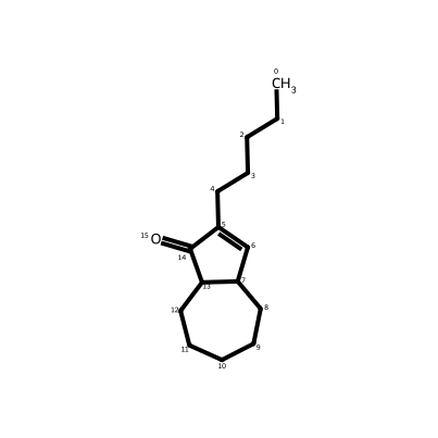 CCCCCC1=CC2CCCCCC2C1=O